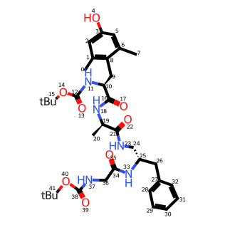 Cc1cc(O)cc(C)c1C[C@H](NC(=O)OC(C)(C)C)C(=O)N[C@H](C)C(=O)NC[C@H](Cc1ccccc1)NC(=O)CNC(=O)OC(C)(C)C